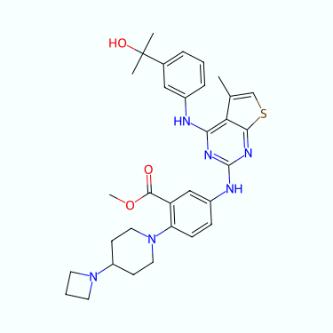 COC(=O)c1cc(Nc2nc(Nc3cccc(C(C)(C)O)c3)c3c(C)csc3n2)ccc1N1CCC(N2CCC2)CC1